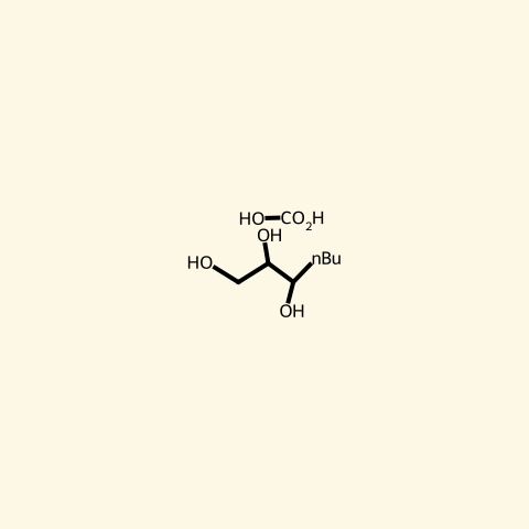 CCCCC(O)C(O)CO.O=C(O)O